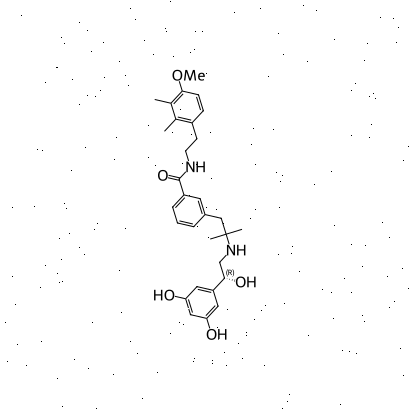 COc1ccc(CCNC(=O)c2cccc(CC(C)(C)NC[C@H](O)c3cc(O)cc(O)c3)c2)c(C)c1C